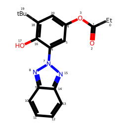 CCC(=O)Oc1cc(-n2nc3ccccc3n2)c(O)c(C(C)(C)C)c1